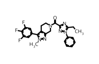 CCc1nc(C(=O)N2CCc3c(nn(C)c3-c3cc(F)c(F)c(F)c3)C2)nn1-c1ccccc1